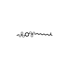 CCOC(=O)OC1CCC(OC(=O)OCCCCCCCCCC(C)C)CC1